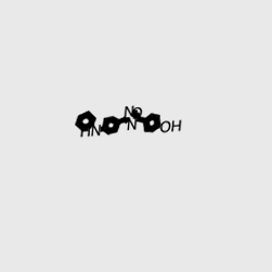 Oc1ccc(-c2nc(-c3ccc(Nc4ccccc4)cc3)no2)cc1